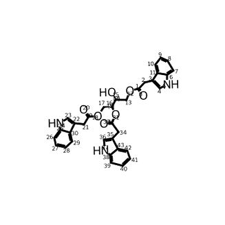 O=C(Cc1c[nH]c2ccccc12)OC[C@@H](O)[C@H](COC(=O)Cc1c[nH]c2ccccc12)OC(=O)Cc1c[nH]c2ccccc12